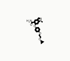 Cn1ncc2cc(C(N)=O)c(Oc3ccc(OCCOC4CC4)cc3)cc21